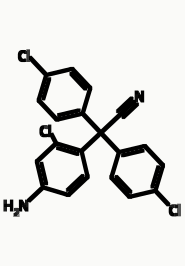 N#CC(c1ccc(Cl)cc1)(c1ccc(Cl)cc1)c1ccc(N)cc1Cl